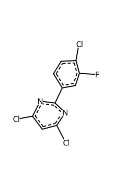 Fc1cc(-c2nc(Cl)cc(Cl)n2)ccc1Cl